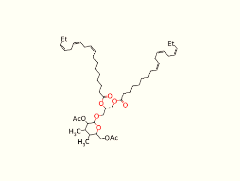 CC/C=C\C/C=C\C/C=C\CCCCCCCC(=O)OC[C@H](COC1OC(COC(C)=O)C(C)C(C)C1OC(C)=O)OC(=O)CCCCCCC/C=C\C/C=C\C/C=C\CC